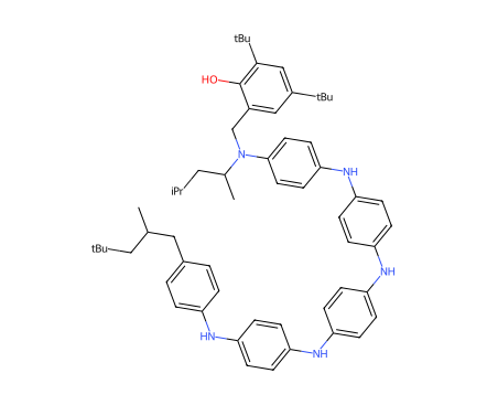 CC(C)CC(C)N(Cc1cc(C(C)(C)C)cc(C(C)(C)C)c1O)c1ccc(Nc2ccc(Nc3ccc(Nc4ccc(Nc5ccc(CC(C)CC(C)(C)C)cc5)cc4)cc3)cc2)cc1